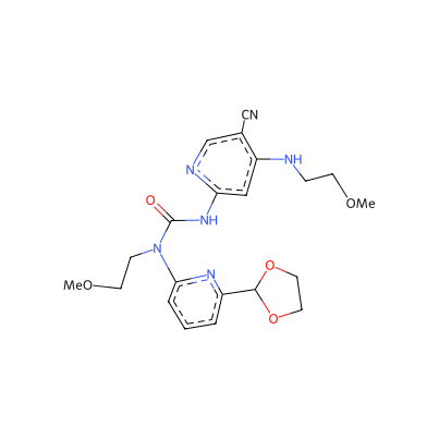 COCCNc1cc(NC(=O)N(CCOC)c2cccc(C3OCCO3)n2)ncc1C#N